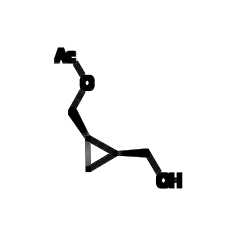 CC(=O)OC[C@@H]1C[C@@H]1CO